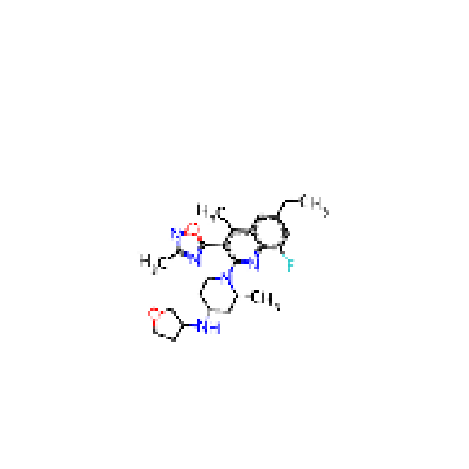 CCc1cc(F)c2nc(N3CC[C@@H](NC4CCOC4)C[C@H]3C)c(-c3nc(C)no3)c(C)c2c1